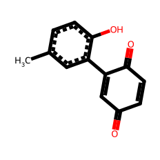 Cc1ccc(O)c(C2=CC(=O)C=CC2=O)c1